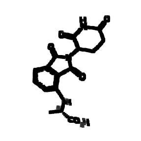 C[C@H](Nc1cccc2c1C(=O)N(C1CCC(=O)NC1=O)C2=O)C(=O)O